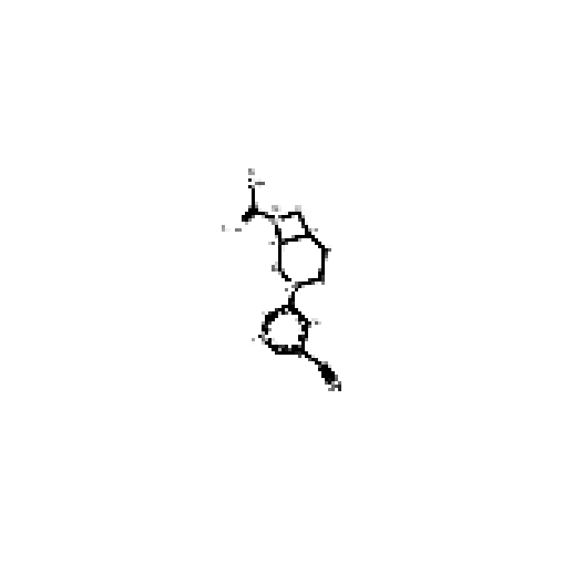 N#Cc1cncc(N2CCC3CN(C(=O)O)C3C2)c1